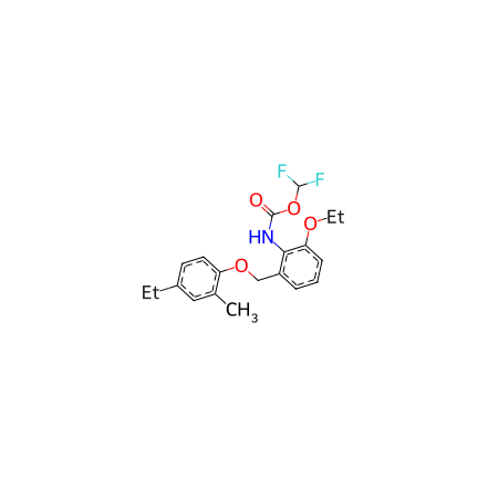 CCOc1cccc(COc2ccc(CC)cc2C)c1NC(=O)OC(F)F